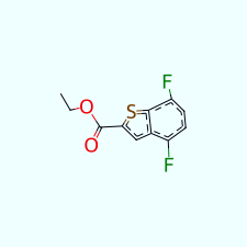 CCOC(=O)c1cc2c(F)ccc(F)c2s1